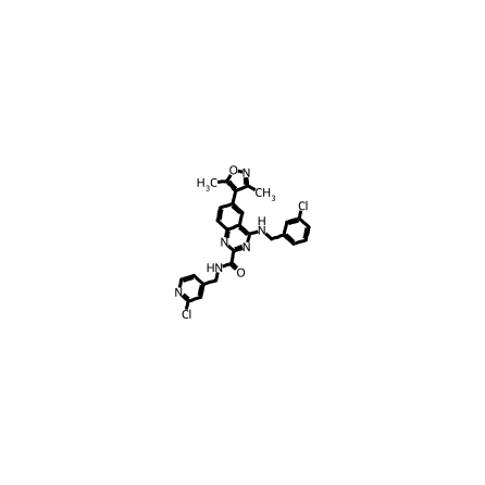 Cc1noc(C)c1-c1ccc2nc(C(=O)NCc3ccnc(Cl)c3)nc(NCc3cccc(Cl)c3)c2c1